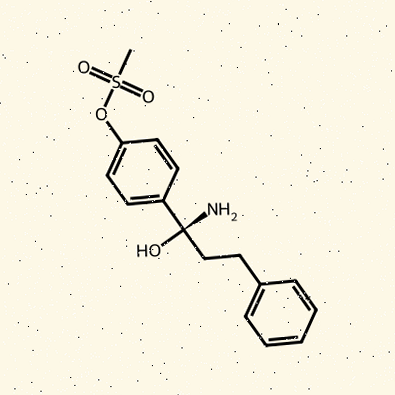 CS(=O)(=O)Oc1ccc([C@@](N)(O)CCc2ccccc2)cc1